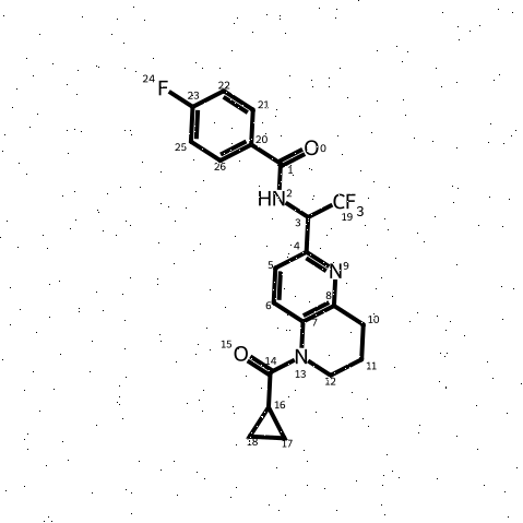 O=C(NC(c1ccc2c(n1)CCCN2C(=O)C1CC1)C(F)(F)F)c1ccc(F)cc1